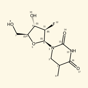 CC1CN([C@H]2O[C@@H](CO)[C@H](O)[C@H]2F)C(=O)NC1=O